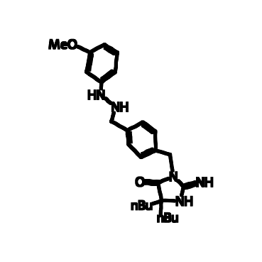 CCCCC1(CCCC)NC(=N)N(Cc2ccc(CNNc3cccc(OC)c3)cc2)C1=O